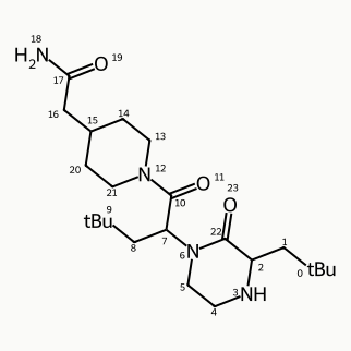 CC(C)(C)CC1NCCN(C(CC(C)(C)C)C(=O)N2CCC(CC(N)=O)CC2)C1=O